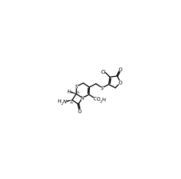 N[C@@H]1C(=O)N2C(C(=O)O)=C(CSC3=C(Cl)C(=O)OC3)CS[C@@H]12